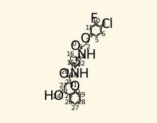 O=C(COc1ccc(Cl)c(F)c1)NC12CC(C1)C(NC(=O)[C@@H]1C[C@H](O)c3ccccc3O1)C2